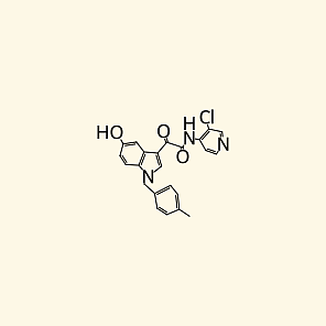 Cc1ccc(Cn2cc(C(=O)C(=O)Nc3ccncc3Cl)c3cc(O)ccc32)cc1